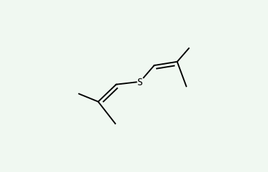 CC(C)=CSC=C(C)C